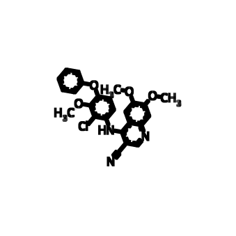 COc1cc2ncc(C#N)c(Nc3ccc(Oc4ccccc4)c(OC)c3Cl)c2cc1OC